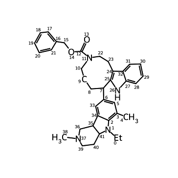 CCN1c2c(C)cc(C3CCCN(C(=O)OCc4ccccc4)CCc4c3[nH]c3ccccc43)cc2C2CN(C)CCC21